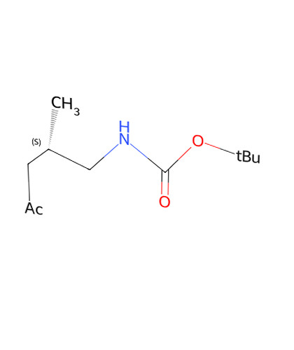 CC(=O)C[C@H](C)CNC(=O)OC(C)(C)C